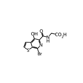 O=C(O)CNC(=O)c1nc(Br)c2sccc2c1O